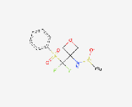 CC(C)(C)[S+]([O-])NC1(C(F)(F)S(=O)(=O)c2ccccc2)COC1